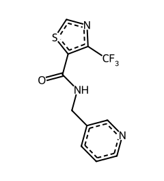 O=C(NCc1cccnc1)c1scnc1C(F)(F)F